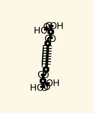 O=C(Oc1ccc(C(F)(F)C(F)(F)C(F)(F)C(F)(F)C(F)(F)C(F)(F)C(F)(F)c2ccc(OC(=O)c3ccc(C(=O)O)c(C(=O)O)c3)cc2)cc1)c1ccc(C(=O)O)c(C(=O)O)c1